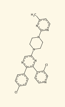 Cc1ccnc(N2CCN(c3cnc(-c4ccc(Cl)cc4)c(-c4ccncc4Cl)n3)CC2)n1